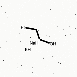 CCCCO.[KH].[NaH]